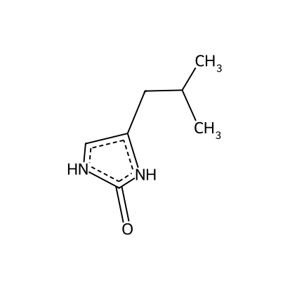 CC(C)Cc1c[nH]c(=O)[nH]1